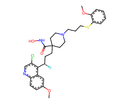 COc1ccc2ncc(Cl)c([C@H](F)CCC3(C(=O)NO)CCN(CCCSc4ccccc4OC)CC3)c2c1